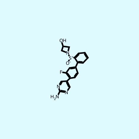 Nc1ncc(-c2ccc(-c3ccccc3[S+]([O-])N3CC(O)C3)cc2F)cn1